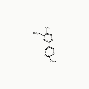 COc1ccc(-c2ccc(C)c(C(=O)O)c2)cc1